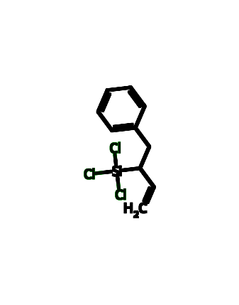 C=CC(Cc1ccccc1)[Si](Cl)(Cl)Cl